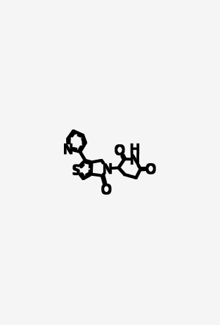 O=C1CCC(N2Cc3c(csc3-c3ccccn3)C2=O)C(=O)N1